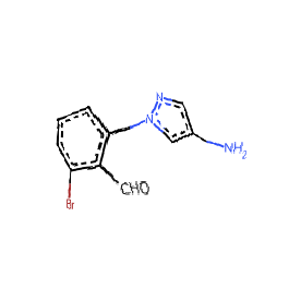 Nc1cnn(-c2cccc(Br)c2C=O)c1